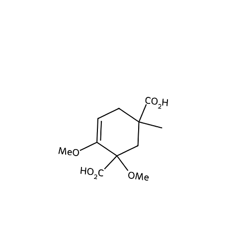 COC1=CCC(C)(C(=O)O)CC1(OC)C(=O)O